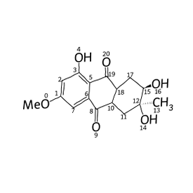 COc1cc(O)c2c(c1)C(=O)C1C[C@](C)(O)[C@H](O)CC1C2=O